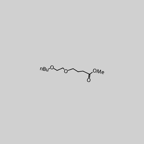 CCCCOCCOCCCC(=O)OC